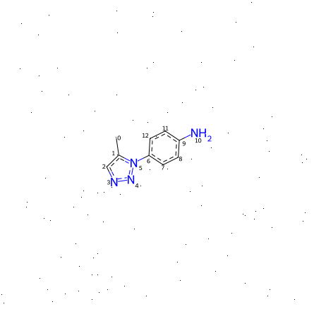 Cc1cnnn1-c1ccc(N)cc1